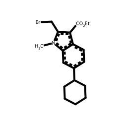 CCOC(=O)c1c(CBr)n(C)c2cc(C3CCCCC3)ccc12